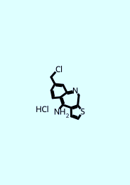 Cl.NC1=c2ccc(CCl)cc2=NCc2sccc21